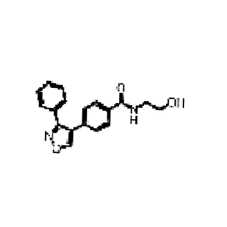 O=C(NCCO)c1ccc(-c2conc2-c2ccccc2)cc1